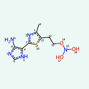 Cc1nc(-c2[nH]cnc2N)sc1CCON(O)O